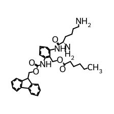 CCCCCC(=O)OCc1c(NC(=O)OCC2c3ccccc3-c3ccccc32)cccc1NC(=O)[C@@H](N)CCCCN